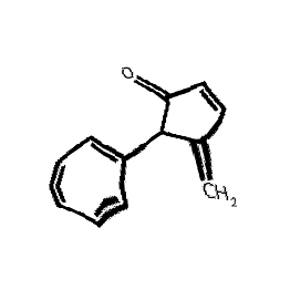 C=C1C=CC(=O)C1c1ccccc1